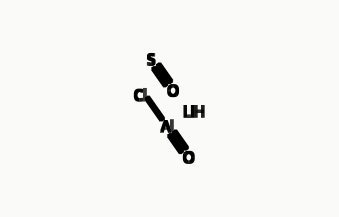 O=S.[LiH].[O]=[Al][Cl]